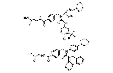 O=C(O)CCNC(=O)c1ccc(CN(C(=O)NCc2ccccc2-c2ccccc2)c2ccc(C3=CCCCC3)cc2)cc1.O=C(O)CCNC(=O)c1ccc(CN(C(=O)Nc2ccc(Cl)c(C(F)(F)F)c2)c2ccc(C3=CCCCC3)cc2)cc1